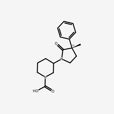 C[C@@]1(c2ccccc2)CCN(C2CCCN(C(=O)O)C2)C1=O